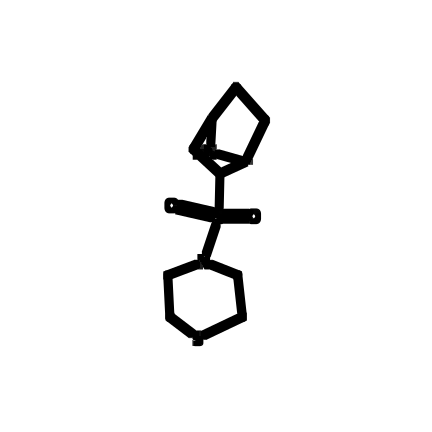 O=S(=O)(C1CC2CC[C]1N2)N1CCSCC1